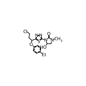 CCc1ccc(OC(CCCl)c2nnc(N3C(=O)N(C)CC3O)s2)cc1